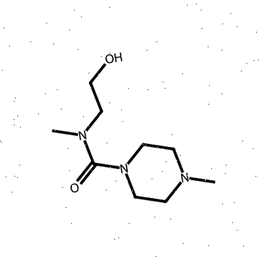 CN1CCN(C(=O)N(C)CCO)CC1